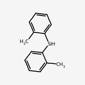 Cc1ccccc1[SiH]c1ccccc1C